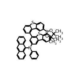 CC1(C)OB(c2ccc3sc4cccc(-c5cc(N(c6ccccc6)c6c7ccccc7cc7ccccc67)cc6c5sc5ccccc56)c4c3c2)OC1(C)C